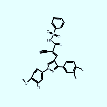 COc1ccc(-n2cc(/C=C(\C#N)C(=O)NS(=O)(=O)c3ccccc3)c(-c3ccc(Cl)c(F)c3)n2)cc1Cl